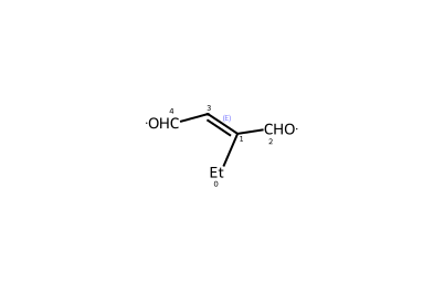 CC/C([C]=O)=C\[C]=O